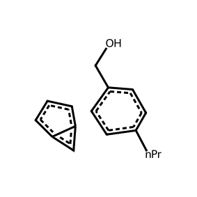 CCCc1ccc(CO)cc1.c1cc2cc-2c1